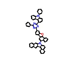 c1ccc(-c2nc(-c3ccc4c(c3)oc3c5ccccc5c(-n5c6cc7ccccc7cc6c6c7ccccc7ccc65)cc43)nc(-c3cccc4c3c3ccccc3n4-c3ccccc3)n2)cc1